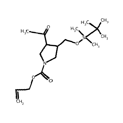 C=CCOC(=O)N1CC(CO[Si](C)(C)C(C)(C)C)C(C(C)=O)C1